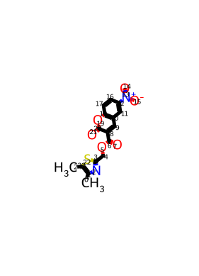 Cc1nc(COC(=O)c2cc3cc([N+](=O)[O-])ccc3oc2=O)sc1C